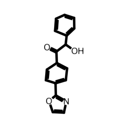 O=C(c1ccc(-c2ncco2)cc1)C(O)c1ccccc1